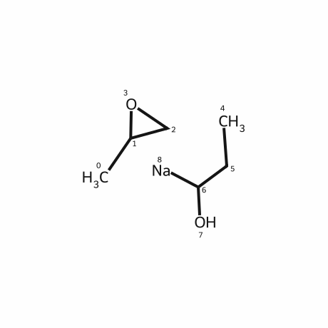 CC1CO1.CC[CH](O)[Na]